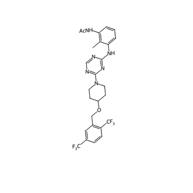 CC(=O)Nc1cccc(Nc2ncnc(N3CCC(OCc4cc(C(F)(F)F)ccc4C(F)(F)F)CC3)n2)c1C